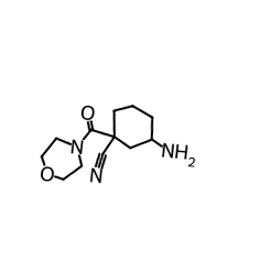 N#CC1(C(=O)N2CCOCC2)CCCC(N)C1